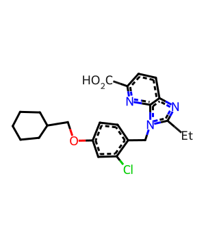 CCc1nc2ccc(C(=O)O)nc2n1Cc1ccc(OCC2CCCCC2)cc1Cl